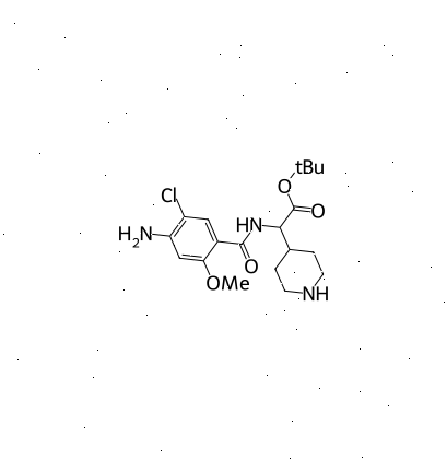 COc1cc(N)c(Cl)cc1C(=O)NC(C(=O)OC(C)(C)C)C1CCNCC1